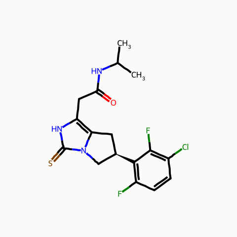 CC(C)NC(=O)Cc1[nH]c(=S)n2c1C[C@@H](c1c(F)ccc(Cl)c1F)C2